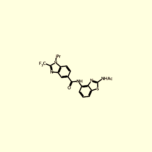 CC(=O)Nc1nc2c(NC(=O)c3ccc4c(c3)nc(C(F)(F)F)n4C(C)C)cccc2s1